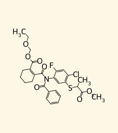 CCOCOC(=O)C1=C(C(=O)N(C(=O)c2ccccc2)c2cc(SC(C)C(=O)OC)c(Cl)cc2F)CCCC1